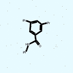 CC(C)NC(=O)c1cc(C(C)C)cc(C(C)C)c1